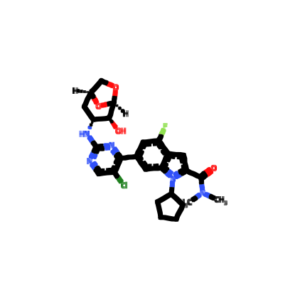 CN(C)C(=O)c1cc2c(F)cc(-c3nc(N[C@@H]4C[C@H]5CO[C@H](O5)[C@H]4O)ncc3Cl)cc2n1C1CCCC1